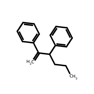 C=C(c1ccccc1)C(CCC)c1ccccc1